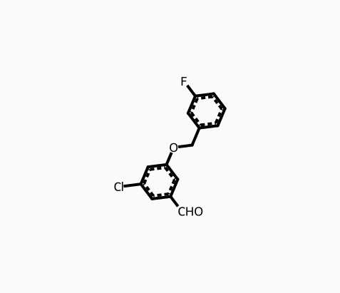 O=Cc1cc(Cl)cc(OCc2cccc(F)c2)c1